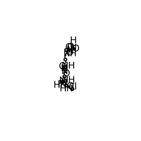 O=C1CCC(N2C(=O)c3cccc(NCCCc4ccc(CCNC(=O)N5CCN(C(=O)Cc6ccc(Nc7ncc(F)c(Nc8ccc(C(=O)Nc9ccccc9Cl)cc8)n7)cc6)CC5)cc4)c3C2=O)C(=O)N1